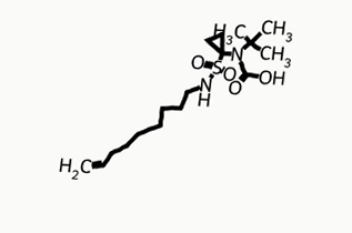 C=CCCCCCCCNS(=O)(=O)C1(N(C(=O)O)C(C)(C)C)CC1